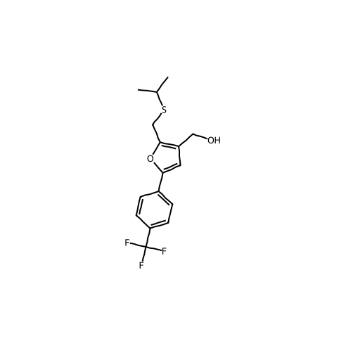 CC(C)SCc1oc(-c2ccc(C(F)(F)F)cc2)cc1CO